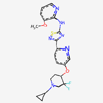 COc1cccnc1Nc1nc(-c2ccc(OC3CCN(C4CC4)CC3(F)F)cn2)ns1